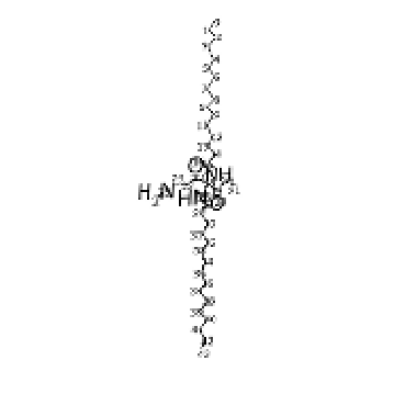 CCCCCCCCCCCCCCCC(=O)NC(CCC)(CCCN)NC(=O)CCCCCCCCCCCCCCC